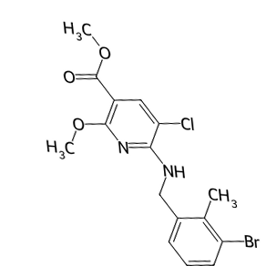 COC(=O)c1cc(Cl)c(NCc2cccc(Br)c2C)nc1OC